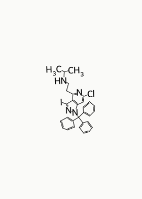 CC(C)NCCc1nc(Cl)cc2c1c(I)nn2C(c1ccccc1)(c1ccccc1)c1ccccc1